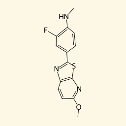 CNc1ccc(-c2nc3ccc(OC)nc3s2)cc1F